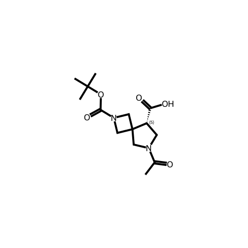 CC(=O)N1C[C@@H](C(=O)O)C2(C1)CN(C(=O)OC(C)(C)C)C2